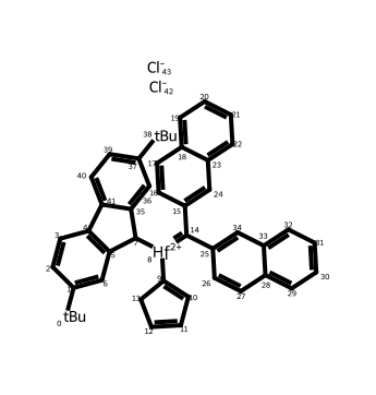 CC(C)(C)c1ccc2c(c1)[CH]([Hf+2]([C]1=CC=CC1)=[C](c1ccc3ccccc3c1)c1ccc3ccccc3c1)c1cc(C(C)(C)C)ccc1-2.[Cl-].[Cl-]